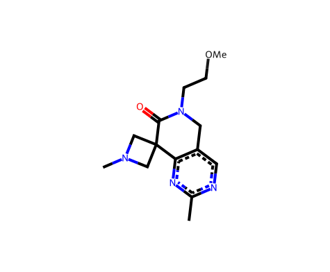 COCCN1Cc2cnc(C)nc2C2(CN(C)C2)C1=O